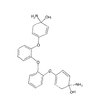 NC1(O)C=CC(Oc2ccccc2Oc2ccccc2OC2=CCC(N)(O)C=C2)=CC1